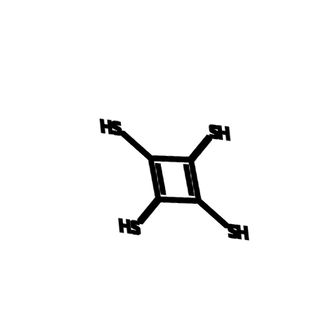 SC1=C(S)C(S)=C1S